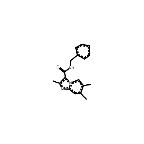 Cc1cc2nc(C)c(C(=O)NCc3ccccc3)n2cc1C